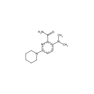 CN(C)c1ccc(N2CCCCC2)nc1C(N)=O